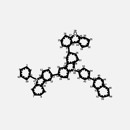 c1ccc(-n2c3ccccc3c3cc(-c4ccc5c(c4)c4cc(-c6cccc7oc8ccccc8c67)ccc4n5-c4ccc(-c5ccc6ccccc6c5)cc4)ccc32)cc1